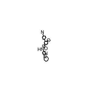 COc1ccc(OC(=O)Nc2ccc(N3CCCCCC3)nc2)cc1-c1ccc(C#N)cc1